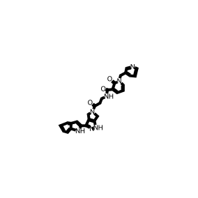 O=C(NCCC(=O)N1Cc2[nH]nc(-c3cc4ccccc4[nH]3)c2C1)c1cccn(Cc2cccnc2)c1=O